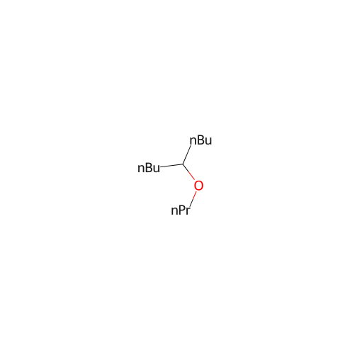 CCCCC(CCCC)OCCC